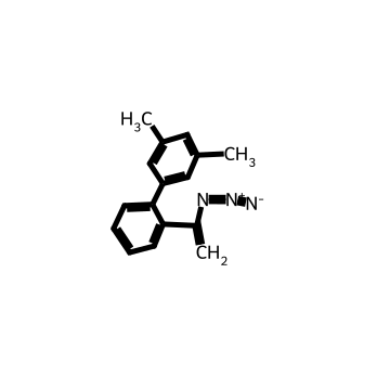 C=C(N=[N+]=[N-])c1ccccc1-c1cc(C)cc(C)c1